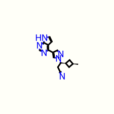 C[C@H]1C[C@@H](C(CC#N)n2cc(-c3ncnc4[nH]ccc34)cn2)C1